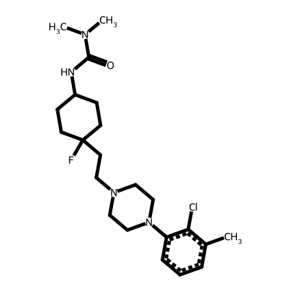 Cc1cccc(N2CCN(CCC3(F)CCC(NC(=O)N(C)C)CC3)CC2)c1Cl